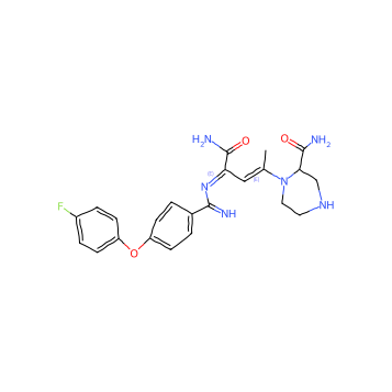 C/C(=C\C(=N/C(=N)c1ccc(Oc2ccc(F)cc2)cc1)C(N)=O)N1CCNCC1C(N)=O